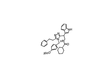 COc1ccc(Cn2c(CCc3ccccc3)nnc2C(CNC(=O)C2CCCCC2)c2c[nH]c3ccccc23)cc1